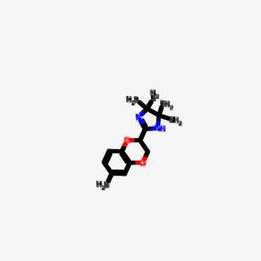 Bc1ccc2c(c1)OCC(C1=NC(B)(B)C(B)(B)N1)O2